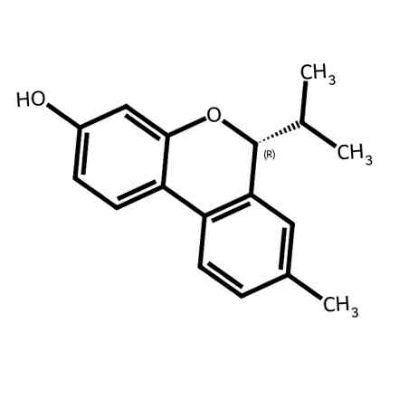 Cc1ccc2c(c1)[C@@H](C(C)C)Oc1cc(O)ccc1-2